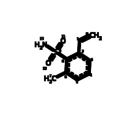 C=Cc1cccc(C)c1S(N)(=O)=O